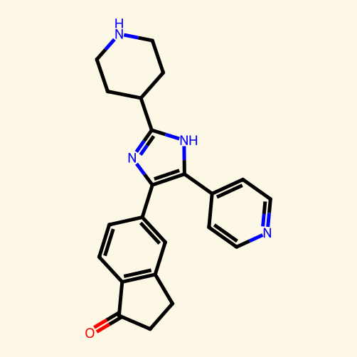 O=C1CCc2cc(-c3nc(C4CCNCC4)[nH]c3-c3ccncc3)ccc21